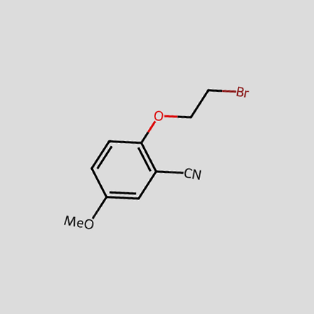 COc1ccc(OCCBr)c(C#N)c1